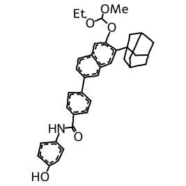 CCOC(OC)Oc1cc2ccc(-c3ccc(C(=O)Nc4ccc(O)cc4)cc3)cc2cc1C12CC3CC(CC(C3)C1)C2